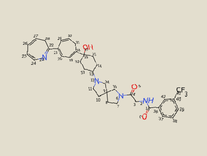 O=C(NCC(=O)N1CCC2(CCN(C3CCC(O)(C4=CC=C(C5=NC=CC=CC5)C=CC4)CC3)C2)C1)c1cccc(C(F)(F)F)c1